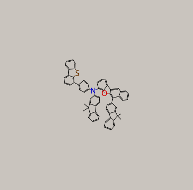 CC1(C)c2ccccc2-c2ccc(-c3c4ccccc4cc4c3oc3c(N(c5ccc(-c6cccc7c6sc6ccccc67)cc5)c5ccc6c(c5)C(C)(C)c5ccccc5-6)cccc34)cc21